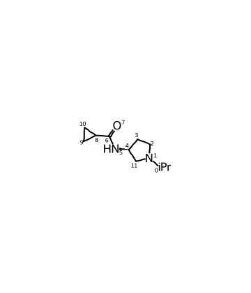 CC(C)N1CC[C@H](NC(=O)C2CC2)C1